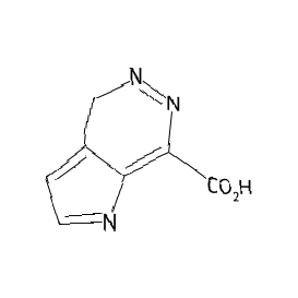 O=C(O)C1=C2N=CC=C2CN=N1